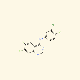 Fc1cc2ncnc(Nc3ccc(F)c(Cl)c3)c2cc1F